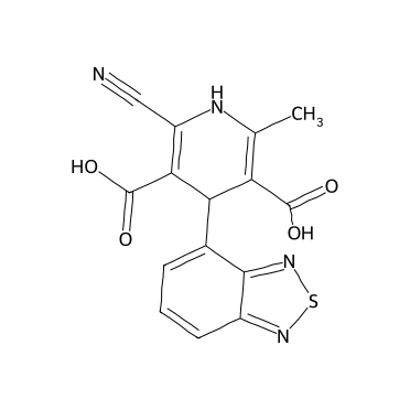 CC1=C(C(=O)O)C(c2cccc3nsnc23)C(C(=O)O)=C(C#N)N1